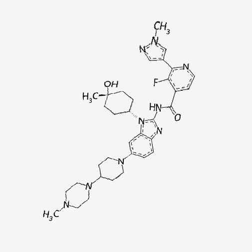 CN1CCN(C2CCN(c3ccc4nc(NC(=O)c5ccnc(-c6cnn(C)c6)c5F)n([C@H]5CC[C@@](C)(O)CC5)c4c3)CC2)CC1